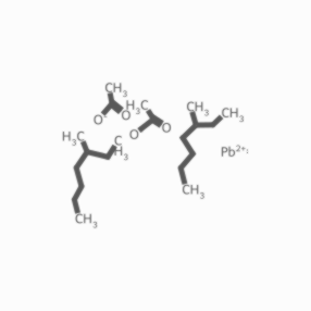 CC(=O)[O-].CC(=O)[O-].CCCCC(C)CC.CCCCC(C)CC.[Pb+2]